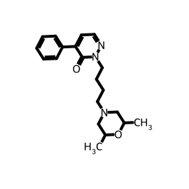 CC1CN(CCCCn2nccc(-c3ccccc3)c2=O)CC(C)O1